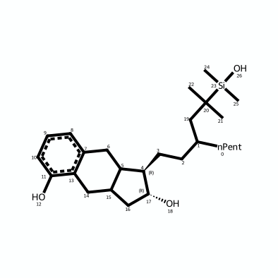 CCCCCC(CC[C@@H]1C2Cc3cccc(O)c3CC2C[C@H]1O)CC(C)(C)[Si](C)(C)O